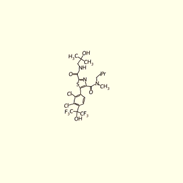 CC(C)CN(C)C(=O)c1nc(C(=O)NCC(C)(C)O)sc1-c1ccc(C(O)(C(F)(F)F)C(F)(F)F)c(Cl)c1Cl